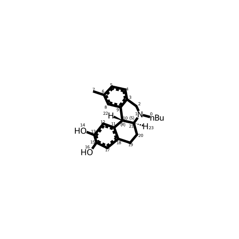 CCCCN1Cc2ccc(C)cc2[C@H]2c3cc(O)c(O)cc3CC[C@@H]21